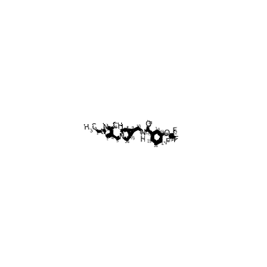 CCn1cc(CN2CC3C(CNC(=O)c4cccc(OC(F)(F)F)c4)C3C2)c(C)n1